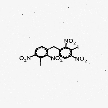 O=[N+]([O-])c1ccc(Cc2ccc([N+](=O)[O-])c(I)c2[N+](=O)[O-])c([N+](=O)[O-])c1I